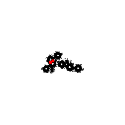 C[Si]1(C)c2ccccc2-c2ccc(N(c3ccc4c(c3)[Si](C)(C)c3cc(-c5ccccc5)ccc3-4)c3ccccc3-c3ccccc3)cc21